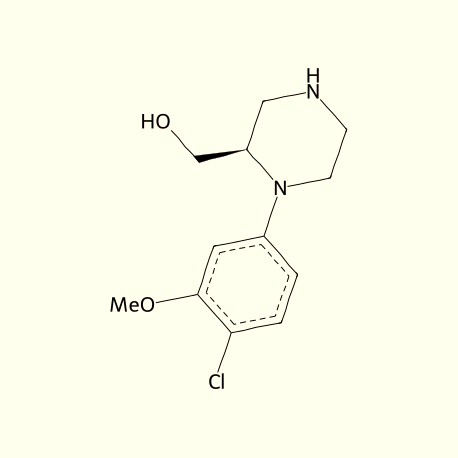 COc1cc(N2CCNC[C@@H]2CO)ccc1Cl